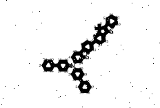 CC1(C)c2cc(-c3ccc4c(c3)sc3cc(N(c5ccc(-c6ccccc6)cc5)c5ccc(-c6ccccc6)cc5)ccc34)ccc2-c2sc3ccccc3c21